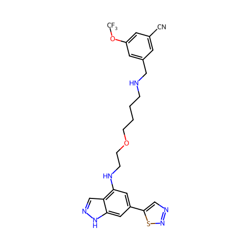 N#Cc1cc(CNCCCCOCCNc2cc(-c3cnns3)cc3[nH]ncc23)cc(OC(F)(F)F)c1